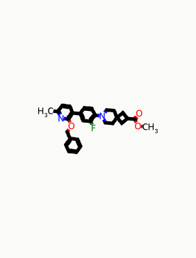 COC(=O)C1CC2(CCN(c3ccc(-c4ccc(C)nc4OCc4ccccc4)cc3F)CC2)C1